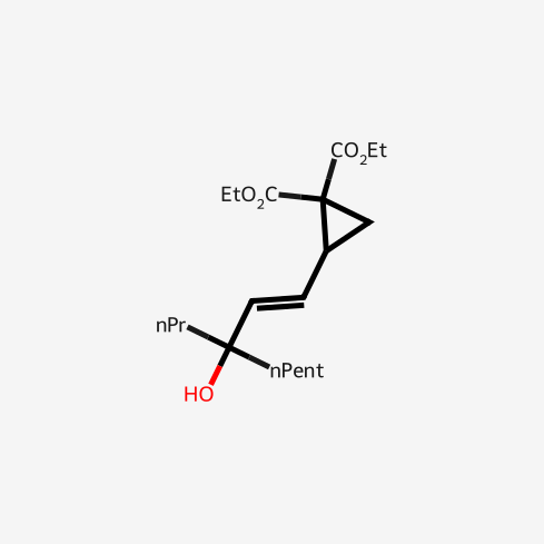 CCCCCC(O)(C=CC1CC1(C(=O)OCC)C(=O)OCC)CCC